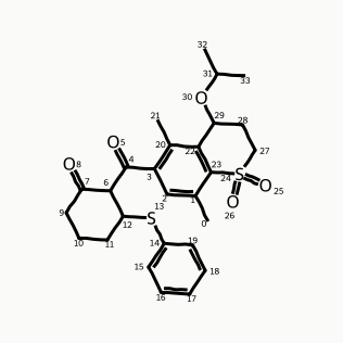 Cc1cc(C(=O)C2C(=O)CCCC2Sc2ccccc2)c(C)c2c1S(=O)(=O)CCC2OC(C)C